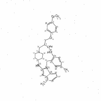 COc1ccc(OCC(O)CN2CCC(Nc3nc4c(C)cccc4n3Cc3nc(C)ccc3O)CC2)cc1